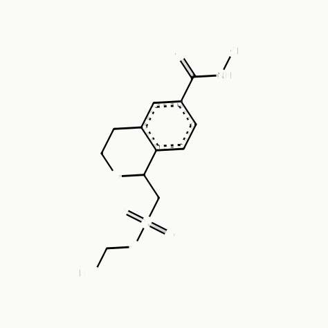 CCOS(=O)(=O)CC1OCCc2cc(C(=O)NC)ccc21